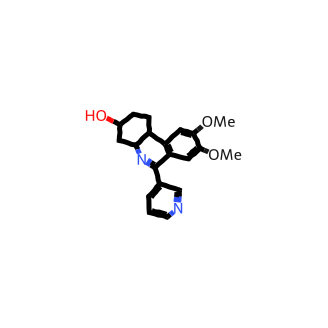 COc1cc2c(cc1OC)C1CCC(O)CC1N=C2c1cccnc1